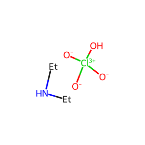 CCNCC.[O-][Cl+3]([O-])([O-])O